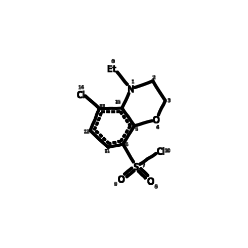 CCN1CCOc2c(S(=O)(=O)Cl)ccc(Cl)c21